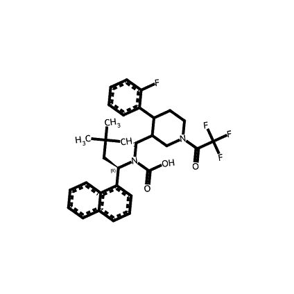 CC(C)(C)C[C@H](c1cccc2ccccc12)N(CC1CN(C(=O)C(F)(F)F)CCC1c1ccccc1F)C(=O)O